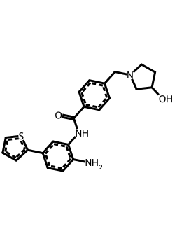 Nc1ccc(-c2cccs2)cc1NC(=O)c1ccc(CN2CCC(O)C2)cc1